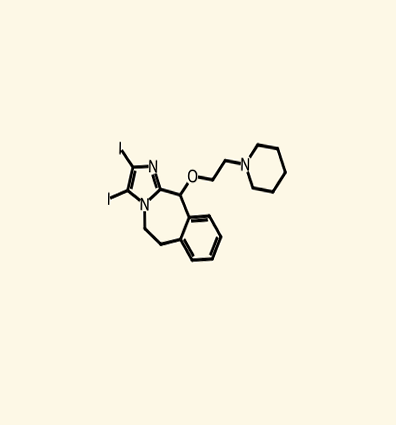 Ic1nc2n(c1I)CCc1ccccc1C2OCCN1CCCCC1